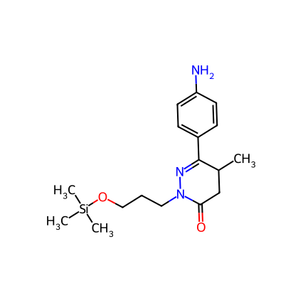 CC1CC(=O)N(CCCO[Si](C)(C)C)N=C1c1ccc(N)cc1